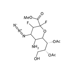 COC(=O)C1(F)OC([C@H](OC(C)=O)[C@@H](CO)OC(C)=O)C(N)C(N=[N+]=[N-])C1F